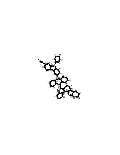 N#Cc1ccc2c3cc(-c4c5ccccc5c(-c5nc6ccccc6c6c5ccc5c7ccccc7sc56)c5ccccc45)ccc3n(-c3ccccc3)c2c1